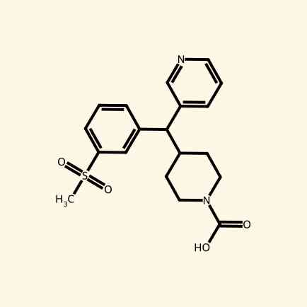 CS(=O)(=O)c1cccc(C(c2cccnc2)C2CCN(C(=O)O)CC2)c1